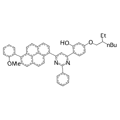 CCCCC(CC)COc1ccc(-c2cc(-c3ccc4ccc5c(-c6ccccc6OC)ccc6ccc3c4c65)nc(-c3ccccc3)n2)c(O)c1